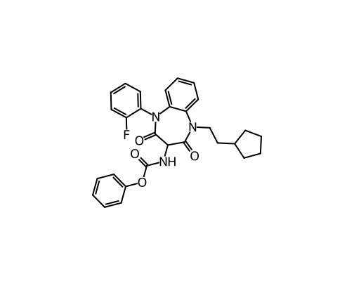 O=C(NC1C(=O)N(CCC2CCCC2)c2ccccc2N(c2ccccc2F)C1=O)Oc1ccccc1